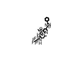 CCS(=O)(=O)c1cc(-c2nc(-c3ccccc3)no2)cnc1N1Nc2nc(C(F)(F)C(F)(F)F)[nH]c2CC1C